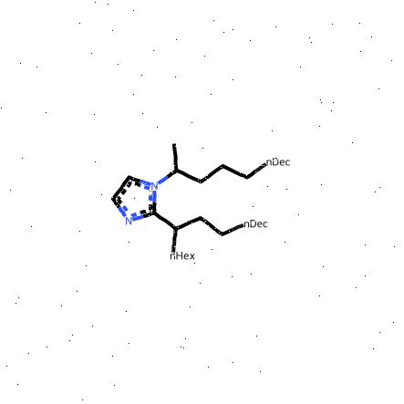 CCCCCCCCCCCCCC(C)n1ccnc1C(CCCCCC)CCCCCCCCCCCC